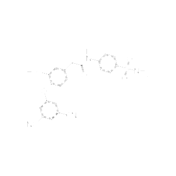 Cc1cc(CC(=O)Nc2ccc(S(N)(=O)=O)cc2)ccc1Oc1cc(C#N)cc(C#N)c1